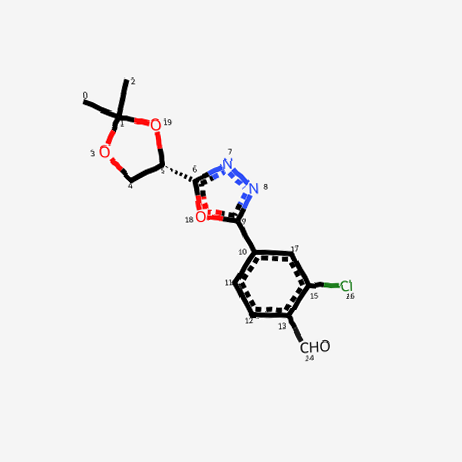 CC1(C)OC[C@@H](c2nnc(-c3ccc(C=O)c(Cl)c3)o2)O1